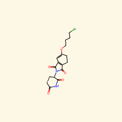 O=C1CCC(N2C(=O)C3=C(CCC(OCCCCBr)=C3)C2=O)C(=O)N1